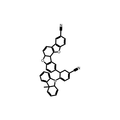 CC12C=CC=CC1N(C1=CC=C(C#N)CC1c1ccc3c(c1)C1c4oc5ccc(C#N)cc5c4C=CC1O3)c1ccccc12